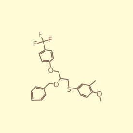 COc1ccc(SCC(COc2ccc(C(F)(F)F)cc2)OCc2ccccc2)cc1C